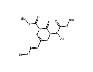 CCO/N=C/C1=NN(C(=O)OC(C)(C)C)C(=O)N(N(C(C)=O)C(=O)OC(C)(C)C)C1